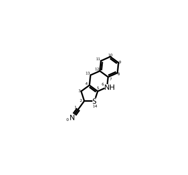 N#CC1CC2=C(Nc3ccccc3C2)S1